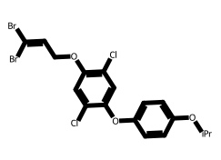 CC(C)Oc1ccc(Oc2cc(Cl)c(OCC=C(Br)Br)cc2Cl)cc1